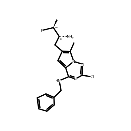 Cc1c(C[C@@H](N)[C@H](C)F)cc2c(NCc3ccccc3)nc(Cl)nn12